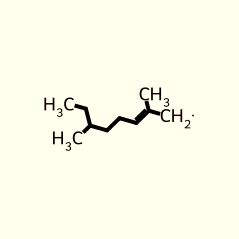 [CH2]C(C)=CCCC(C)CC